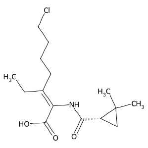 CCC(CCCCCl)=C(NC(=O)[C@H]1CC1(C)C)C(=O)O